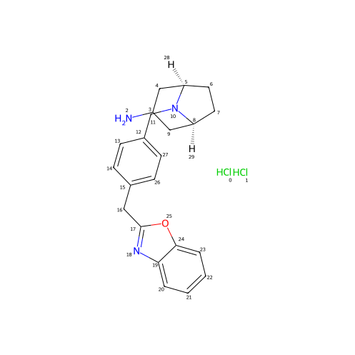 Cl.Cl.NC1C[C@H]2CC[C@@H](C1)N2Cc1ccc(Cc2nc3ccccc3o2)cc1